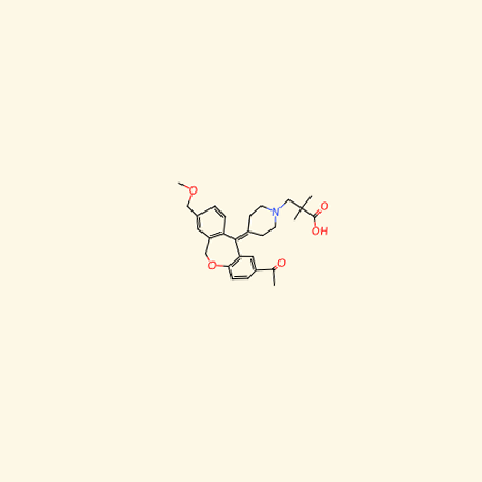 COCc1ccc2c(c1)COc1ccc(C(C)=O)cc1C2=C1CCN(CC(C)(C)C(=O)O)CC1